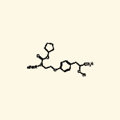 CCCCCN(CCOc1ccc(CC(OCC)C(=O)O)cc1)C(=O)OC1CCCC1